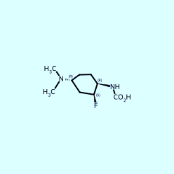 CN(C)[C@@H]1CC[C@@H](NC(=O)O)[C@@H](F)C1